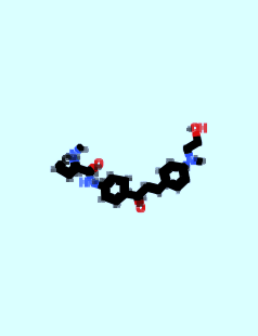 CN(CCO)c1ccc(/C=C/C(=O)c2ccc(NC(=O)c3cccn3C)cc2)cc1